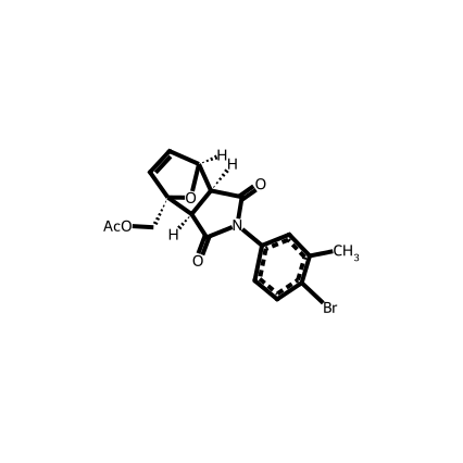 CC(=O)OC[C@]12C=C[C@H](O1)[C@H]1C(=O)N(c3ccc(Br)c(C)c3)C(=O)[C@H]12